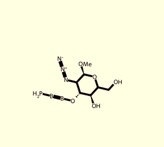 CO[C@H]1OC(CO)[C@@H](O)[C@H](OB=BP)C1N=[N+]=[N-]